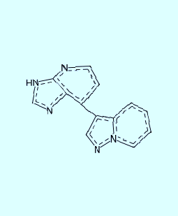 c1ccn2ncc(-c3ccnc4[nH]cnc34)c2c1